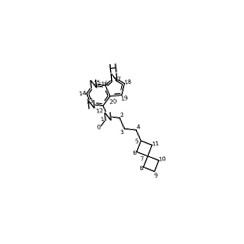 CN(CCCC1CC2(CCC2)C1)c1ncnc2[nH]ccc12